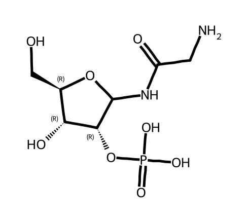 NCC(=O)NC1O[C@H](CO)[C@@H](O)[C@H]1OP(=O)(O)O